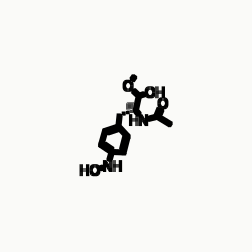 COC(O)[C@@H](Cc1ccc(NO)cc1)NC(C)=O